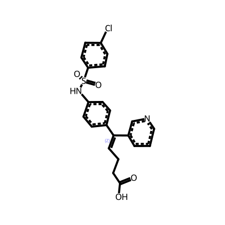 O=C(O)CC/C=C(/c1ccc(NS(=O)(=O)c2ccc(Cl)cc2)cc1)c1cccnc1